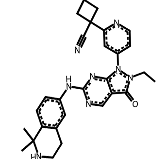 CCn1c(=O)c2cnc(Nc3ccc4c(c3)CCNC4(C)C)nc2n1-c1ccnc(C2(C#N)CCC2)c1